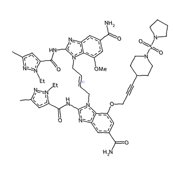 CCn1nc(C)cc1C(=O)Nc1nc2cc(C(N)=O)cc(OC)c2n1C/C=C/Cn1c(NC(=O)c2cc(C)nn2CC)nc2cc(C(N)=O)cc(OCC#CC3CCN(S(=O)(=O)N4CCCC4)CC3)c21